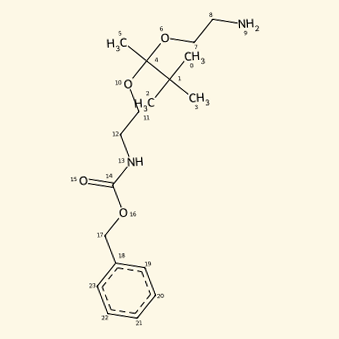 CC(C)(C)C(C)(OCCN)OCCNC(=O)OCc1ccccc1